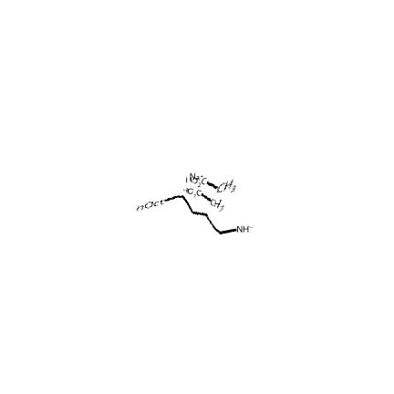 CC(=O)O.CC(=O)O.CCCCCCCCCCCC[NH-].[Na+]